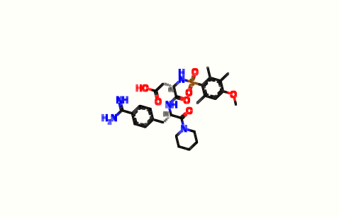 COc1cc(C)c(S(=O)(=O)N[C@@H](CC(=O)O)C(=O)N[C@@H](Cc2ccc(C(=N)N)cc2)C(=O)N2CCCCC2)c(C)c1C